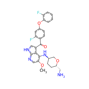 COc1cnc2[nH]cc(C(=O)c3ccc(Oc4ccccc4F)cc3F)c2c1N[C@@H]1CC[C@@H](CN)OC1